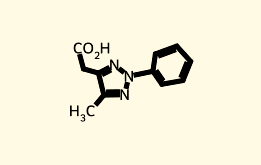 Cc1nn(-c2ccccc2)nc1CC(=O)O